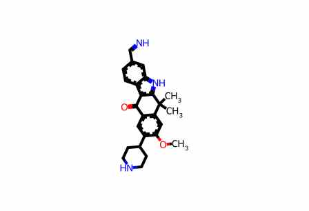 COc1cc2c(cc1C1CCNCC1)C(=O)c1c([nH]c3cc(C=N)ccc13)C2(C)C